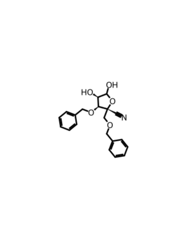 N#C[C@]1(COCc2ccccc2)OC(O)[C@H](O)[C@@H]1OCc1ccccc1